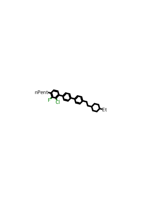 CCCCCc1ccc(-c2ccc(-c3ccc(CCC4CCC(CC)CC4)cc3)cc2)c(Cl)c1F